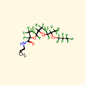 C=CCNC(=O)C(F)(OC(F)(F)C(F)(OC(F)(F)C(F)(OC(F)(F)C(F)(F)C(F)(F)F)C(F)(F)F)C(F)(F)F)C(F)(F)F